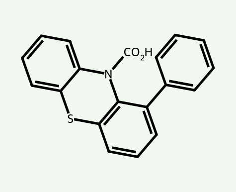 O=C(O)N1c2ccccc2Sc2cccc(-c3ccccc3)c21